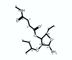 B[C@@H]1O[C@H](CC)C(OC(=O)CCC(=O)NC)[C@@H]1OC(C)CC